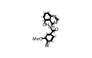 COc1cc(C(=O)Nc2ncnc3cccc(O)c23)ccc1Br